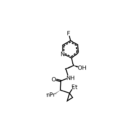 CCC[C@H](C(=O)NC[C@H](O)c1ccc(F)cn1)C1(CC)CC1